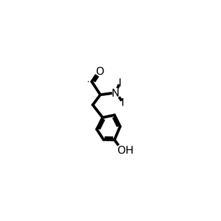 O=[C]C(Cc1ccc(O)cc1)N(I)I